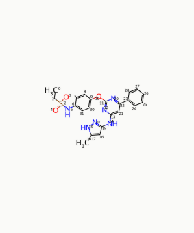 CCS(=O)(=O)Nc1ccc(Oc2nc(Nc3cc(C)[nH]n3)cc(-c3ccccc3)n2)cc1